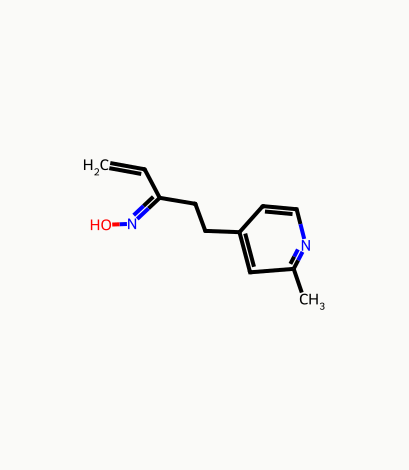 C=CC(CCc1ccnc(C)c1)=NO